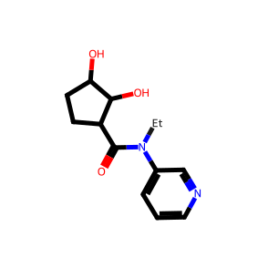 CCN(C(=O)C1CCC(O)C1O)c1cccnc1